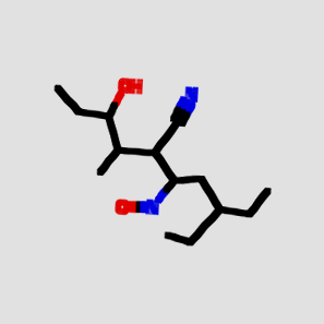 CCC(CC)CC(N=O)C(C#N)C(C)C(O)CC